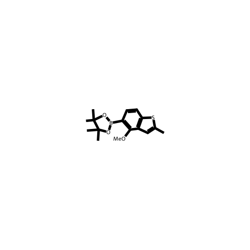 COc1c(B2OC(C)(C)C(C)(C)O2)ccc2sc(C)cc12